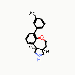 CC(=O)c1cccc(-c2cccc3c2OCC[C@H]2CNC[C@H]32)c1